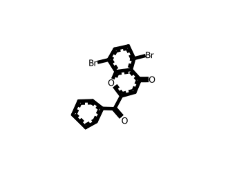 O=C(c1ccccc1)c1cc(=O)c2c(Br)ccc(Br)c2o1